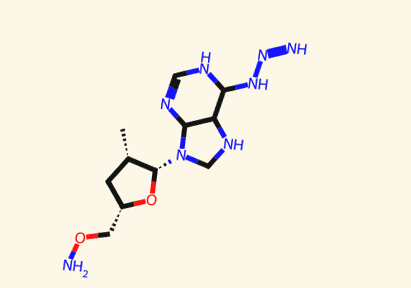 C[C@H]1C[C@@H](CON)O[C@H]1N1CNC2C(NN=N)NC=NC21